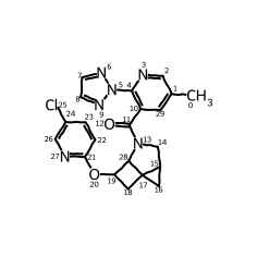 Cc1cnc(-n2nccn2)c(C(=O)N2CC3CC34CC(Oc3ccc(Cl)cn3)C24)c1